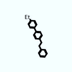 CCc1ccc(-c2ccc(CCc3ccccc3)cc2)cc1